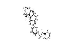 C=C(CN1CCOCC1)c1cc(-c2ccc3c(ccc4sc5c(c43)NC[C@@H](C)NC5)n2)ncn1